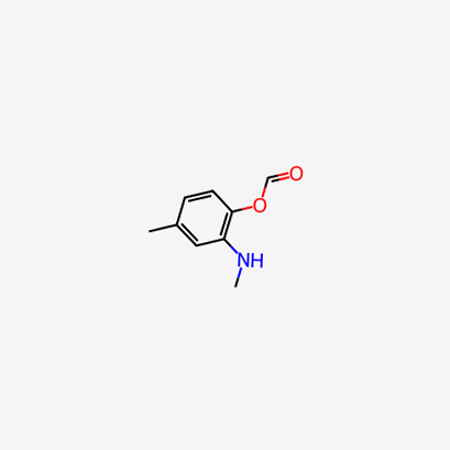 CNc1cc(C)ccc1OC=O